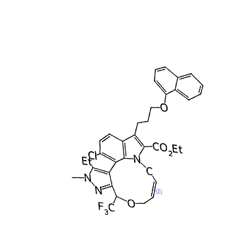 CCOC(=O)c1c(CCCOc2cccc3ccccc23)c2ccc(Cl)c3c2n1C/C=C\COC(C(F)(F)F)c1nn(C)c(CC)c1-3